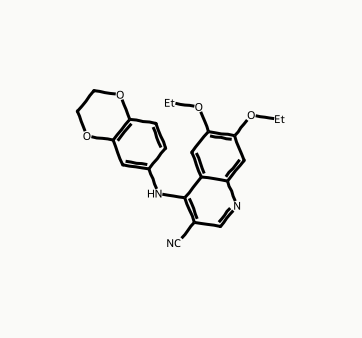 CCOc1cc2ncc(C#N)c(Nc3ccc4c(c3)OCCO4)c2cc1OCC